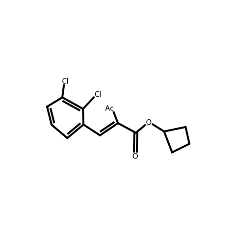 CC(=O)C(=Cc1cccc(Cl)c1Cl)C(=O)OC1CCC1